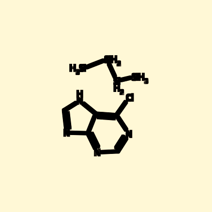 Clc1ncnc2nc[nH]c12.[SiH3][SiH2][SiH2][SiH3]